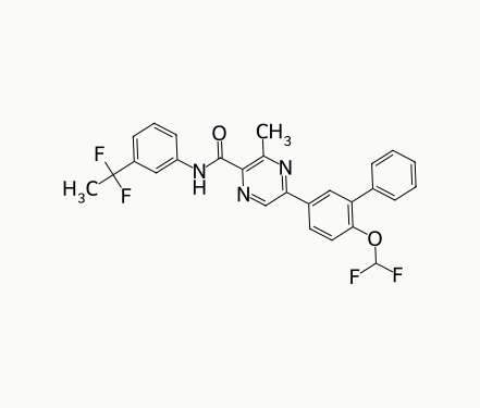 Cc1nc(-c2ccc(OC(F)F)c(-c3ccccc3)c2)cnc1C(=O)Nc1cccc(C(C)(F)F)c1